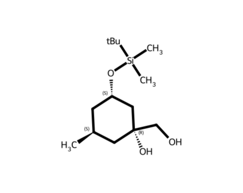 C[C@H]1C[C@H](O[Si](C)(C)C(C)(C)C)C[C@@](O)(CO)C1